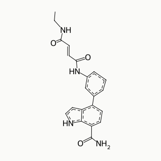 CCNC(=O)C=CC(=O)Nc1cccc(-c2ccc(C(N)=O)c3[nH]ccc23)c1